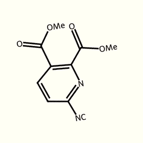 [C-]#[N+]c1ccc(C(=O)OC)c(C(=O)OC)n1